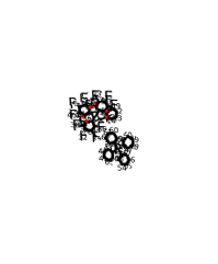 Fc1c(F)c(F)c([B-](Cc2ccccc2)(c2c(F)c(F)c(F)c(F)c2F)c2c(F)c(F)c(F)c(F)c2F)c(F)c1F.c1ccc([P+](c2ccccc2)(c2ccccc2)c2ccccc2)cc1